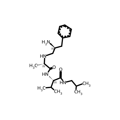 CC(C)CNC(=O)[C@@H](NC(=O)[C@H](C)NC[C@@H](N)Cc1ccccc1)C(C)C